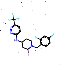 Fc1ccc(CN2CCC(Nc3ccc(C(F)(F)F)nn3)CC2I)c(F)c1